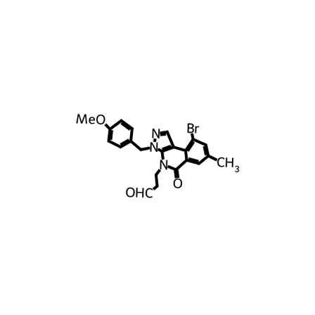 COc1ccc(Cn2ncc3c4c(Br)cc(C)cc4c(=O)n(CCC=O)c32)cc1